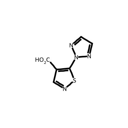 O=C(O)c1cnsc1-n1nccn1